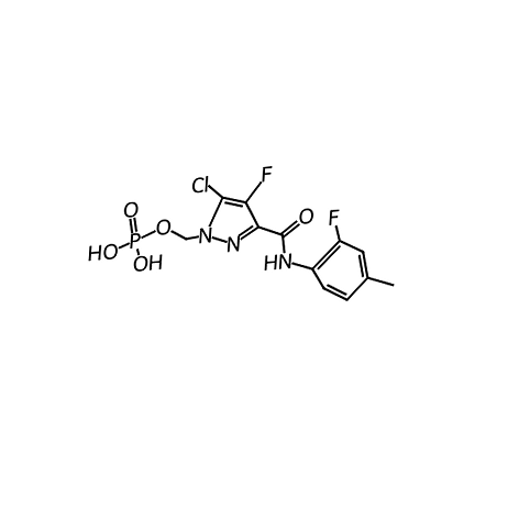 Cc1ccc(NC(=O)c2nn(COP(=O)(O)O)c(Cl)c2F)c(F)c1